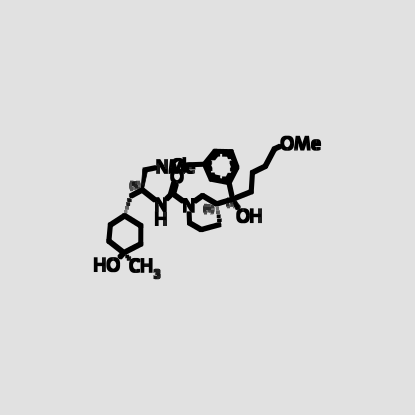 CNC[C@H](C[C@H]1CC[C@](C)(O)CC1)NC(=O)N1CCC[C@@H]([C@@](O)(CCCCOC)c2cccc(Cl)c2)C1